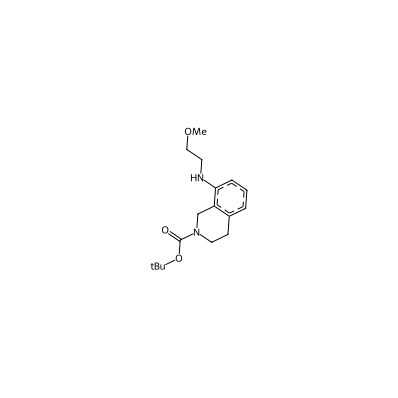 COCCNc1cccc2c1CN(C(=O)OC(C)(C)C)CC2